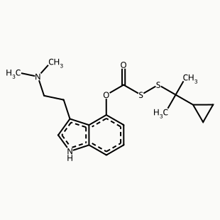 CN(C)CCc1c[nH]c2cccc(OC(=O)SSC(C)(C)C3CC3)c12